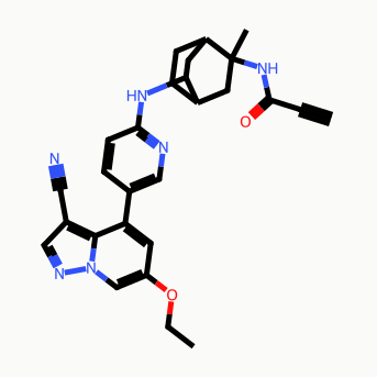 C#CC(=O)NC1(C)CC2CCC1CC2Nc1ccc(-c2cc(OCC)cn3ncc(C#N)c23)cn1